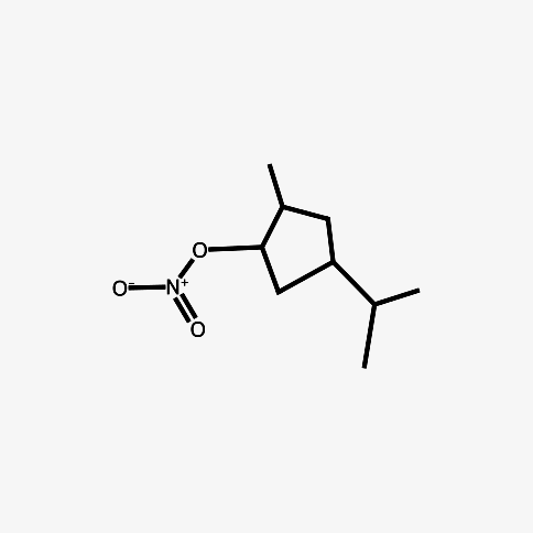 CC(C)C1CC(C)C(O[N+](=O)[O-])C1